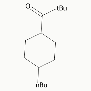 CCCCC1CCC(C(=O)C(C)(C)C)CC1